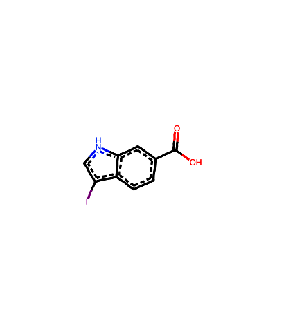 O=C(O)c1ccc2c(I)c[nH]c2c1